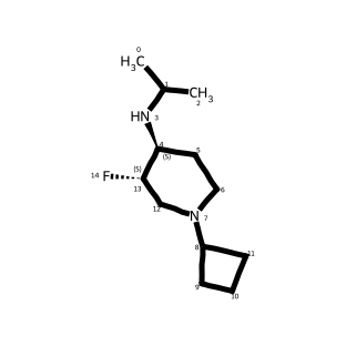 CC(C)N[C@H]1CCN(C2CCC2)C[C@@H]1F